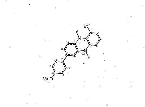 CCc1cccc2c1N(C)c1ccc(-c3ccc(OC)cc3)cc1N2C